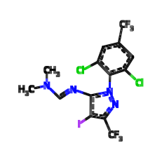 CN(C)C=Nc1c(I)c(C(F)(F)F)nn1-c1c(Cl)cc(C(F)(F)F)cc1Cl